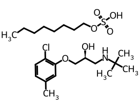 CCCCCCCCOS(=O)(=O)O.Cc1ccc(Cl)c(OC[C@@H](O)CNC(C)(C)C)c1